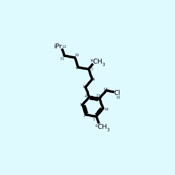 Cc1ccc(CCC(C)CCCC(C)C)c(CCl)c1